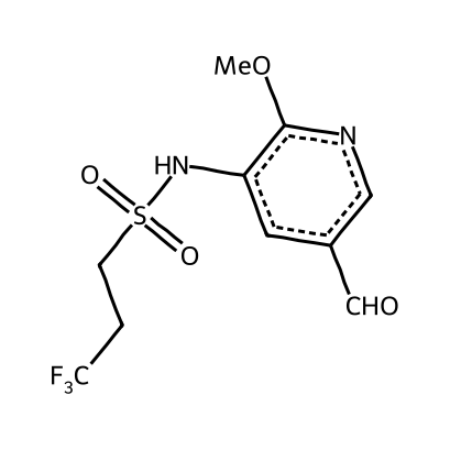 COc1ncc(C=O)cc1NS(=O)(=O)CCC(F)(F)F